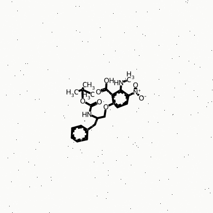 CNc1c([N+](=O)[O-])ccc(OCC(Cc2ccccc2)NC(=O)OC(C)(C)C)c1C(=O)O